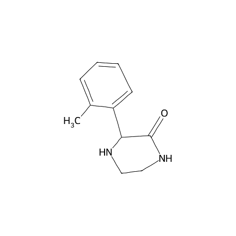 Cc1ccccc1C1NCCNC1=O